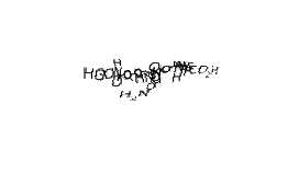 Cc1cc(C(=O)N[C@H]2CC[C@H](O)CC2)ccc1-c1ccc(CC(NC(=O)C2CCC(CN)CC2)C(=O)Nc2ccc(-c3nnc(C(F)(F)C(F)(F)C(=O)O)[nH]3)cc2)cc1